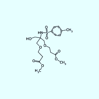 COC(=O)CCOCC(CO)(COCCC(=O)OC)NS(=O)(=O)c1ccc(C)cc1